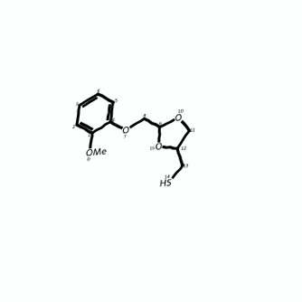 COc1ccccc1OCC1OCC(CS)O1